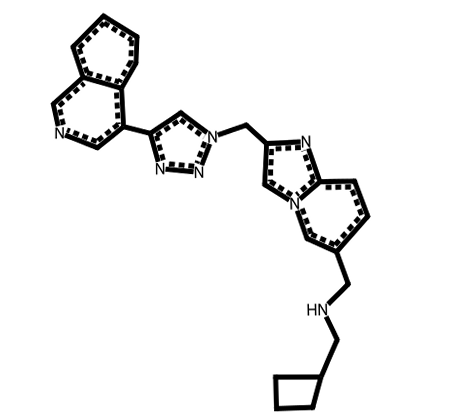 c1ccc2c(-c3cn(Cc4cn5cc(CNCC6CCC6)ccc5n4)nn3)cncc2c1